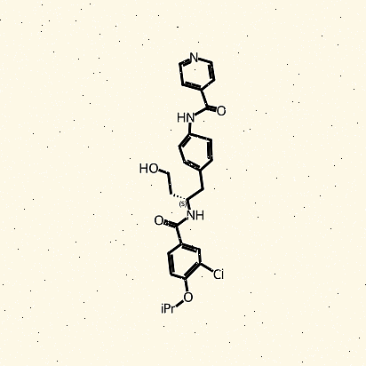 CC(C)Oc1ccc(C(=O)N[C@H](CCO)Cc2ccc(NC(=O)c3ccncc3)cc2)cc1Cl